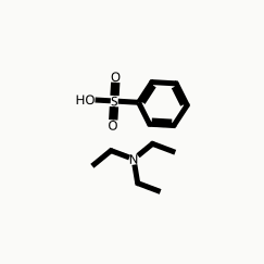 CCN(CC)CC.O=S(=O)(O)c1ccccc1